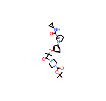 CC(C)(C)OC(=O)N1CCN(C(=O)C(C)(C)Oc2cccc(N3CCC[C@H](C(=O)NC4CC4)C3)c2)CC1